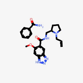 C=CCN1CCCC1CNC(=O)c1cc2nn[nH]c2cc1OC.NC(=O)c1ccccc1